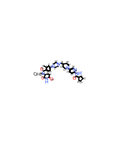 Cc1cc(N2CCN(CC3CCN(c4ccc(NC(=O)C5CCCC5)nc4)CC3)CC2)ccc1C(=O)N(C=O)C1CCC(=O)NC1=O